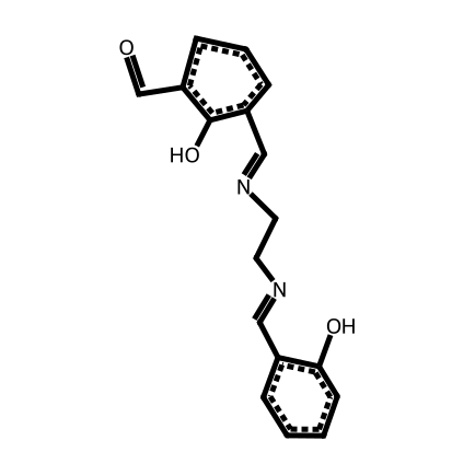 O=Cc1cccc(C=NCCN=Cc2ccccc2O)c1O